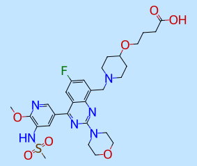 COc1ncc(-c2nc(N3CCOCC3)nc3c(CN4CCC(OCCCC(=O)O)CC4)cc(F)cc23)cc1NS(C)(=O)=O